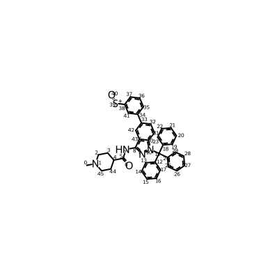 CN1CCC(C(=O)Nc2nn(C(c3ccccc3)(c3ccccc3)c3ccccc3)c3ccc(-c4cccc([S+]=O)c4)cc23)CC1